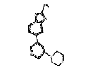 Nc1nc2ccc(-c3cncc(N4CCOCC4)c3)cc2s1